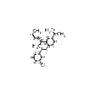 C=C(C)c1ccc(CCc2cccc(Cl)c2)c(/C(C)=N/C=C\C)c1